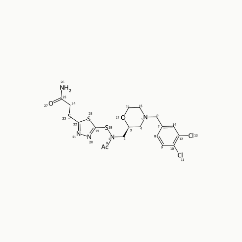 CC(=O)N(C[C@@H]1CN(Cc2ccc(Cl)c(Cl)c2)CCO1)Sc1nnc(SCC(N)=O)s1